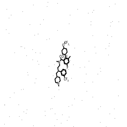 Cc1cc(F)cc(C(C(=O)O)N(C)CCC(CC2CCN(C)CC2)c2cccc(C(F)(F)F)c2)c1C1CCC(OC(F)(F)F)CC1